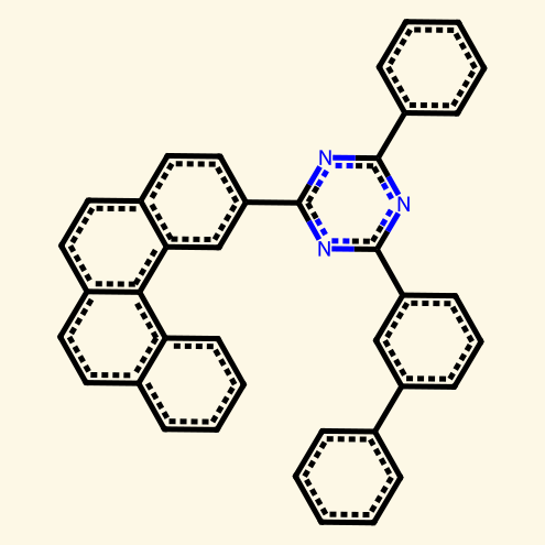 c1ccc(-c2cccc(-c3nc(-c4ccccc4)nc(-c4ccc5ccc6ccc7ccccc7c6c5c4)n3)c2)cc1